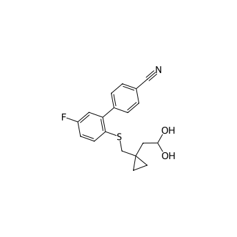 N#Cc1ccc(-c2cc(F)ccc2SCC2(CC(O)O)CC2)cc1